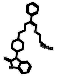 Cl.Cl.NCCON=C(CCCN1CCC(n2c(=O)[nH]c3ccccc32)CC1)c1ccccc1